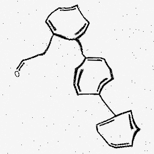 O=CCc1ccccc1-c1ccc(-c2ccccc2)cc1